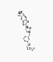 C[C@@H]1CN(Cc2cccc(OCC(=O)O)c2)CCN1c1nc2ccc(OC(F)(F)F)cc2s1